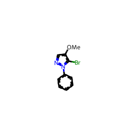 COc1cnn(-c2ccccc2)c1Br